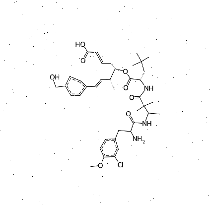 COc1ccc(CC(N)C(=O)NC(C)C(C)(C)C(=O)N[C@@H](CC(C)(C)C)C(=O)O[C@@H](C/C=C/C(=O)O)[C@H](C)/C=C/c2ccc(CO)cc2)cc1Cl